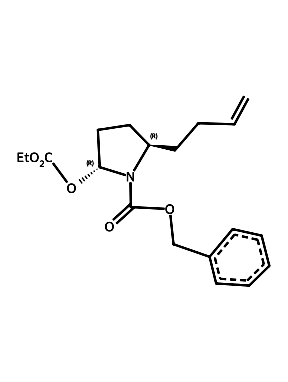 C=CCC[C@@H]1CC[C@@H](OC(=O)OCC)N1C(=O)OCc1ccccc1